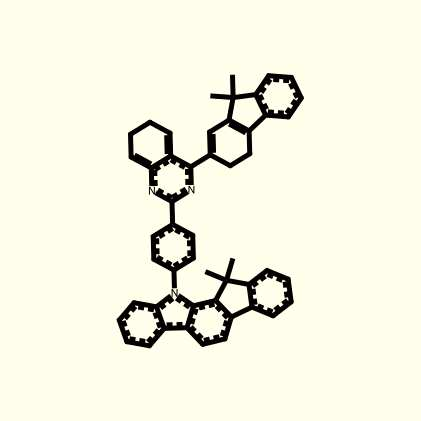 CC1(C)C2=C(CCC(c3nc(-c4ccc(-n5c6ccccc6c6ccc7c(c65)C(C)(C)c5ccccc5-7)cc4)nc4c3=CCCC=4)=C2)c2ccccc21